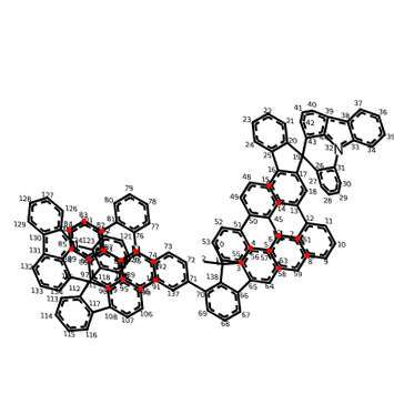 CC1(C)c2cc(N(c3ccccc3-c3ccc4c(c3)C3(c5ccccc5-4)c4ccccc4-n4c5ccccc5c5cccc3c54)c3ccccc3-c3ccccc3-c3ccccc3)ccc2-c2cccc(-c3ccc(N(c4ccccc4-c4ccccc4-c4ccccc4)c4cccc5ccccc45)c(-c4ccc5c(c4)C4(c6ccccc6-5)c5ccccc5-n5c6ccccc6c6cccc4c65)c3)c21